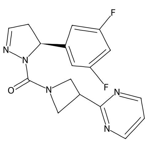 O=C(N1CC(c2ncccn2)C1)N1N=CC[C@H]1c1cc(F)cc(F)c1